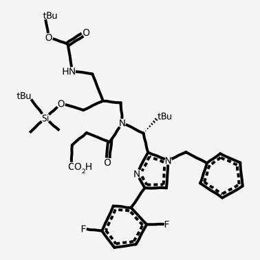 CC(C)(C)OC(=O)NCC(CO[Si](C)(C)C(C)(C)C)CN(C(=O)CCC(=O)O)[C@@H](c1nc(-c2cc(F)ccc2F)cn1Cc1ccccc1)C(C)(C)C